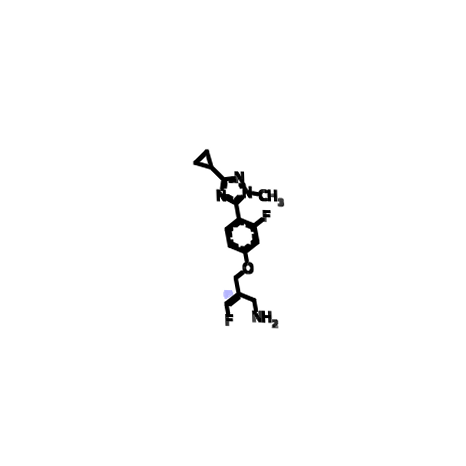 Cn1nc(C2CC2)nc1-c1ccc(OC/C(=C/F)CN)cc1F